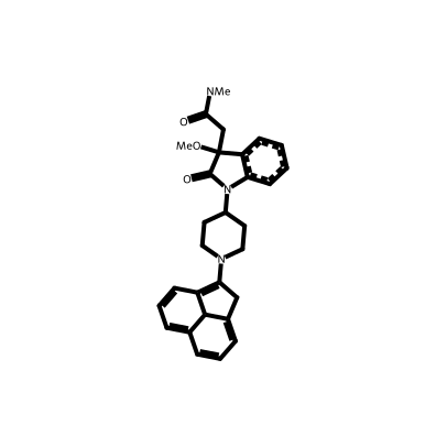 CNC(=O)CC1(OC)C(=O)N(C2CCN(C3=C4C=CC=C5C=CC=C(C3)C54)CC2)c2ccccc21